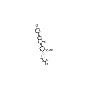 CCC(=O)OC(C)(C)COc1ccc(N2Cc3cn(-c4ccc(Cl)cc4)nc3C2=O)cc1OC